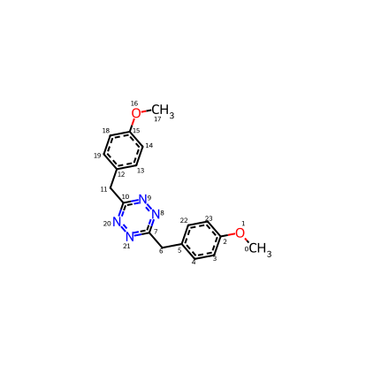 COc1ccc(Cc2nnc(Cc3ccc(OC)cc3)nn2)cc1